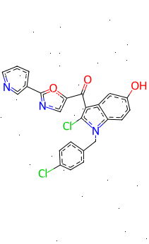 O=C(c1cnc(-c2cccnc2)o1)c1c(Cl)n(Cc2ccc(Cl)cc2)c2ccc(O)cc12